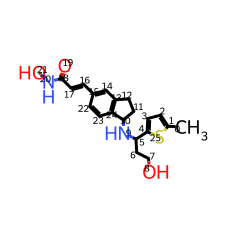 Cc1ccc(C(CCO)NC2CCc3cc(/C=C/C(=O)NO)ccc32)s1